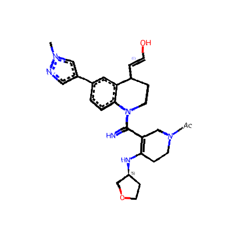 CC(=O)N1CCC(N[C@H]2CCOC2)=C(C(=N)N2CCC(/C=C/O)c3cc(-c4cnn(C)c4)ccc32)C1